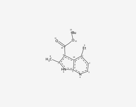 CCc1ccnc2[nH]c(C)c(C(=O)OC(C)(C)C)c12